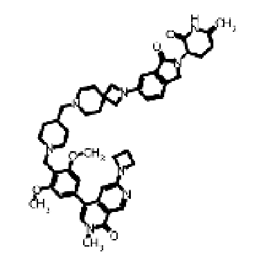 C=C1CC[C@@H](N2Cc3ccc(N4CC5(CCN(CC6CCN(Cc7c(OC)cc(-c8cn(C)c(=O)c9cnc(N%10CCC%10)cc89)cc7OC)CC6)CC5)C4)cc3C2=O)C(=O)N1